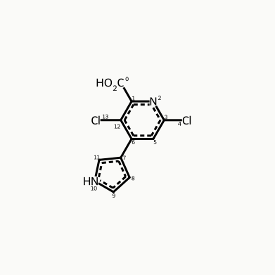 O=C(O)c1nc(Cl)cc(-c2cc[nH]c2)c1Cl